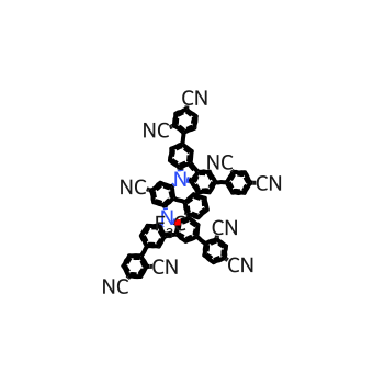 N#Cc1ccc(-c2ccc3c(c2)c2cc(-c4ccc(C#N)cc4C#N)ccc2n3-c2cc(C#N)cc(-n3c4ccc(-c5ccc(C#N)cc5C#N)cc4c4cc(-c5ccc(C#N)cc5C#N)ccc43)c2-c2ccccc2C(F)(F)F)c(C#N)c1